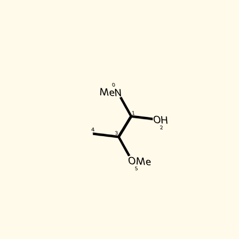 CNC(O)C(C)OC